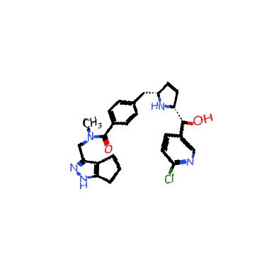 CN(Cc1n[nH]c2c1CCC2)C(=O)c1ccc(C[C@@H]2CC[C@H](C(O)c3ccc(Cl)nc3)N2)cc1